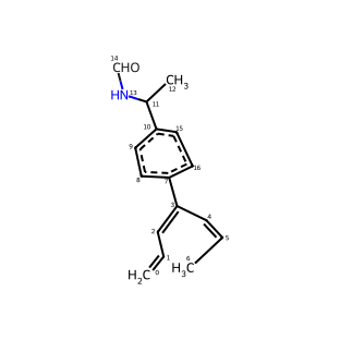 C=C/C=C(\C=C/C)c1ccc(C(C)NC=O)cc1